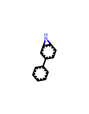 c1ccc(-c2ccc3c(c2)N3)cc1